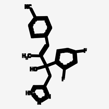 C/C(=C\c1ccc(C#N)cc1)C(O)(Cc1c[nH]nn1)c1ccc(F)cc1F